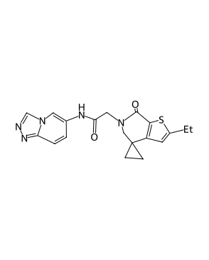 CCc1cc2c(s1)C(=O)N(CC(=O)Nc1ccc3nncn3c1)CC21CC1